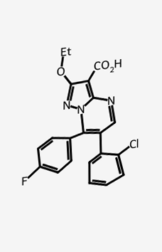 CCOc1nn2c(-c3ccc(F)cc3)c(-c3ccccc3Cl)cnc2c1C(=O)O